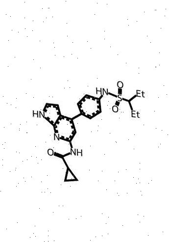 CCC(CC)S(=O)(=O)Nc1ccc(-c2cc(NC(=O)C3CC3)nc3[nH]ccc23)cc1